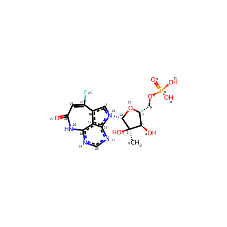 C[C@@]1(O)[C@H](O)[C@@H](COP(=O)(O)O)O[C@H]1n1cc2c3c(ncnc31)NC(=O)C=C2F